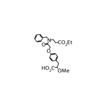 CCOC(=O)CCN(Cc1ccccc1)C(=O)COc1ccc(CC(OC)C(=O)O)cc1